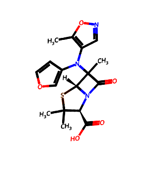 Cc1oncc1N(c1ccoc1)C1(C)C(=O)N2[C@@H](C(=O)O)C(C)(C)S[C@@H]21